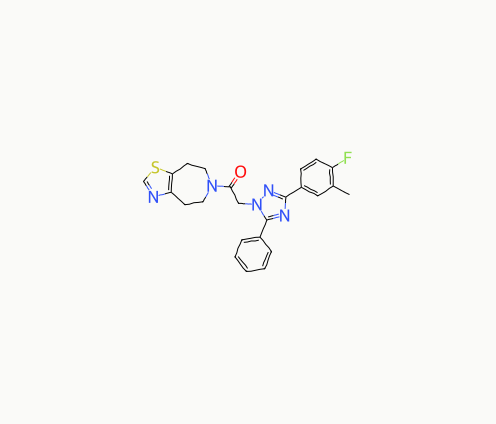 Cc1cc(-c2nc(-c3ccccc3)n(CC(=O)N3CCc4ncsc4CC3)n2)ccc1F